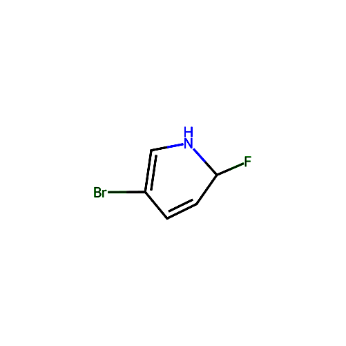 FC1C=CC(Br)=CN1